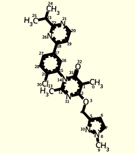 Cc1c(OCc2ccn(C)n2)nc(C)n(-c2cc(-c3ccnc(C(C)C)n3)ccc2Cl)c1=O